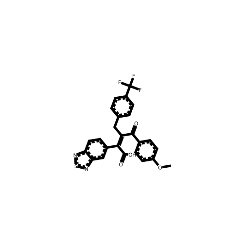 COc1ccc(C(=O)C(Cc2ccc(C(F)(F)F)cc2)=C(C(=O)O)c2ccc3nsnc3c2)cc1